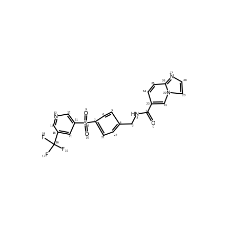 O=C(NCc1ccc(S(=O)(=O)c2cncc(C(F)(F)F)c2)cc1)c1ccc2nccn2c1